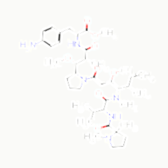 CC[C@H](C)[C@@H]([C@@H](CC(=O)N1CCC[C@H]1[C@H](OC)[C@@H](C)C(=O)N[C@@H](Cc1ccc(N)cc1)C(=O)OC)OC)N(C)C(=O)[C@@H](NC(=O)[C@]1(C)CCCN1C)C(C)C